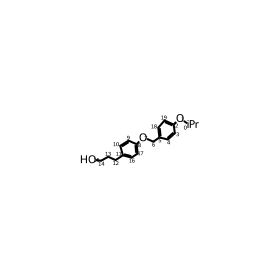 CC(C)Oc1ccc(COc2ccc(CCCO)cc2)cc1